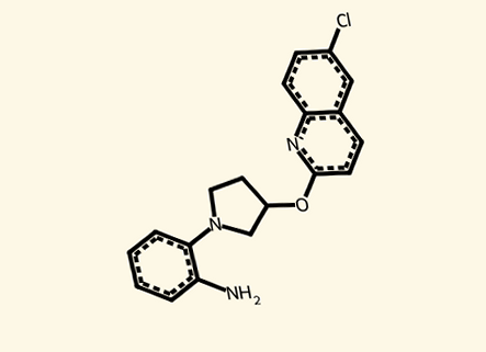 Nc1ccccc1N1CCC(Oc2ccc3cc(Cl)ccc3n2)C1